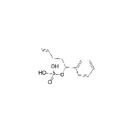 C=CCCC(OP(=O)(O)O)c1ccccc1